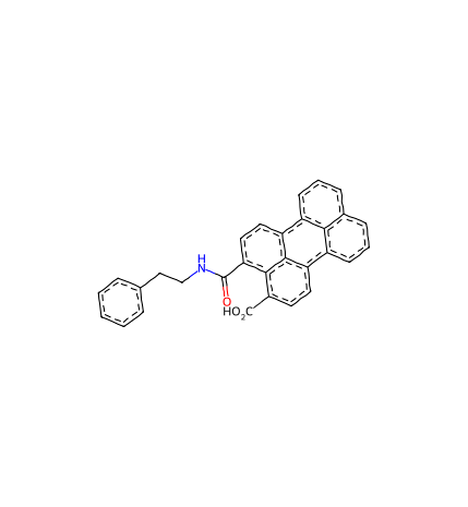 O=C(O)c1ccc2c3cccc4cccc(c5ccc(C(=O)NCCc6ccccc6)c1c25)c43